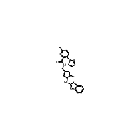 Cc1ccc(-n2nccn2)c(C(=O)NCC2CC(C)C(Nc3nc4ccccc4o3)C2)n1